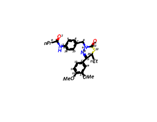 CCCC(=O)Nc1ccc(CN2N=C(c3ccc(OC)c(OC)c3)C(CC)SC2=O)cc1